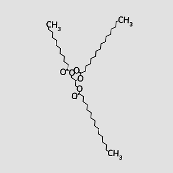 CCCCCCCCCCCCCCCC(=O)OCC(COC(=O)CCCCCCCCCCC)OC(=O)CCCCCCCCCCCCCCC